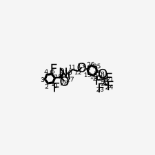 Fc1cccc(F)c1C1=NC(CCOc2ccc(OC(F)(F)C(F)F)cc2)CO1